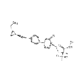 CC(CCn1ccc(-c2ccc(C#C[C@H]3C[C@@H]3CO)cc2)cc1=O)(C(=O)NO)S(C)(=O)=O